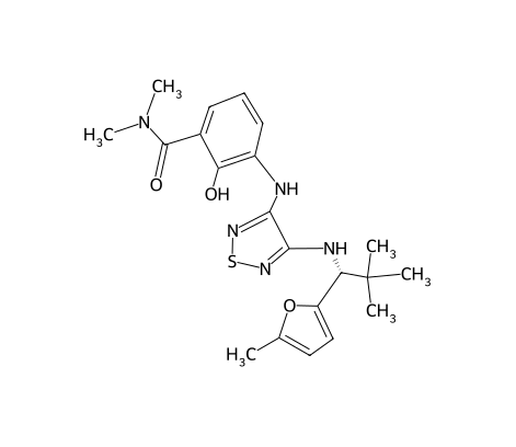 Cc1ccc([C@H](Nc2nsnc2Nc2cccc(C(=O)N(C)C)c2O)C(C)(C)C)o1